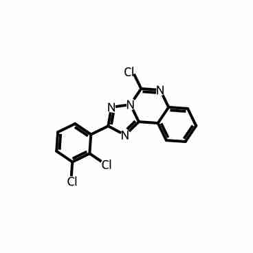 Clc1cccc(-c2nc3c4ccccc4nc(Cl)n3n2)c1Cl